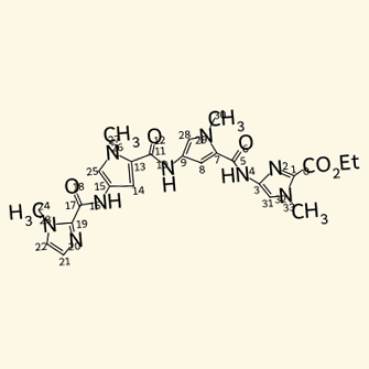 CCOC(=O)c1nc(NC(=O)c2cc(NC(=O)c3cc(NC(=O)c4nccn4C)cn3C)cn2C)cn1C